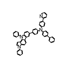 c1ccc(-c2ccc(N(c3ccc(-c4ccc5c(c4)c4ccc6c(ccn6-c6ccccc6)c4n5-c4ccccc4)cc3)c3ccc(-c4ccccn4)cc3)cc2)cc1